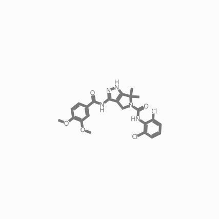 COc1ccc(C(=O)Nc2n[nH]c3c2CN(C(=O)Nc2c(Cl)cccc2Cl)C3(C)C)cc1OC